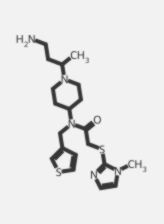 CC(CCN)N1CCC(N(Cc2ccsc2)C(=O)CSc2nccn2C)CC1